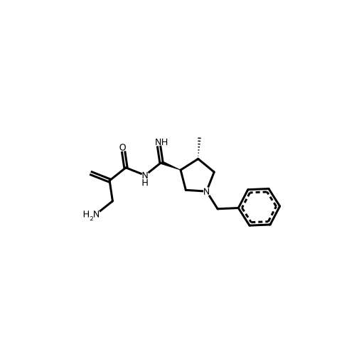 C=C(CN)C(=O)NC(=N)[C@@H]1CN(Cc2ccccc2)C[C@H]1C